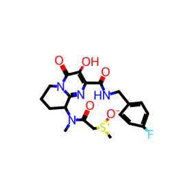 CN(C(=O)C[S+](C)[O-])C1CCCn2c1nc(C(=O)NCc1ccc(F)cc1)c(O)c2=O